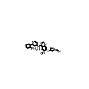 N#CB1CCC(Oc2cc3ncnc(Nc4ccnc(-c5ccccc5P)c4)c3cc2N=O)C1